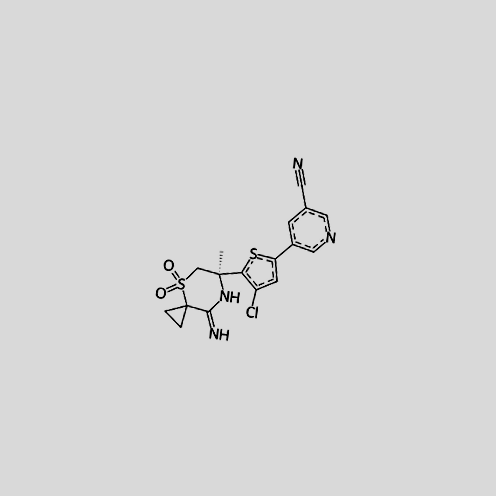 C[C@@]1(c2sc(-c3cncc(C#N)c3)cc2Cl)CS(=O)(=O)C2(CC2)C(=N)N1